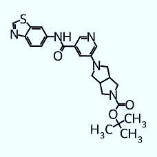 CC(C)(C)OC(=O)N1CC2CN(c3cncc(C(=O)Nc4ccc5ncsc5c4)c3)CC2C1